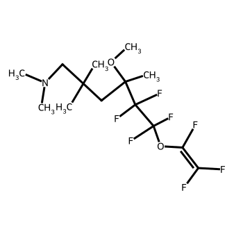 COC(C)(CC(C)(C)CN(C)C)C(F)(F)C(F)(F)OC(F)=C(F)F